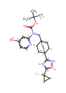 CC(C)(OC(=O)N(CC12CCC(c3noc(C4(F)CC4)n3)(CC1)CC2)c1cc(Br)ccn1)C(F)(F)F